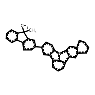 CC1(C)c2ccccc2-c2ccc(-c3ccc4c(c3)c3cccc5c6cc7ccccc7cc6n4c35)cc21